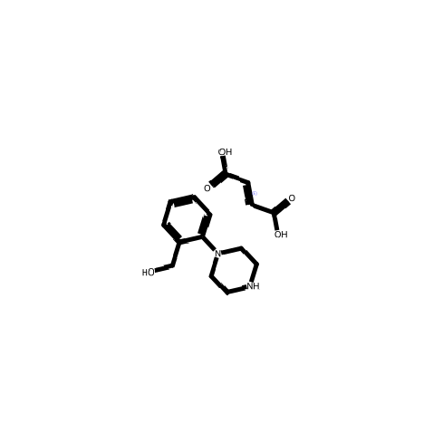 O=C(O)/C=C/C(=O)O.OCc1ccccc1N1CCNCC1